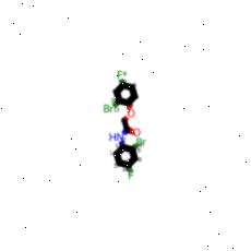 O=C(COc1ccc(F)cc1Br)Nc1ccc(F)cc1Br